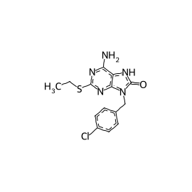 CCSc1nc(N)c2[nH]c(=O)n(Cc3ccc(Cl)cc3)c2n1